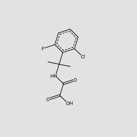 CC(C)(NC(=O)C(=O)O)c1c(F)cccc1Cl